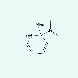 CNC1(N(C)C)C=CC=CN1